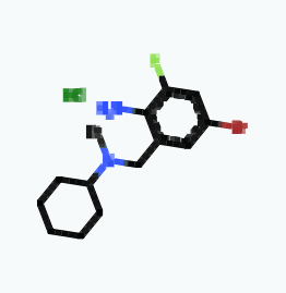 CCN(Cc1cc(Br)cc(F)c1N)C1CCCCC1.Cl